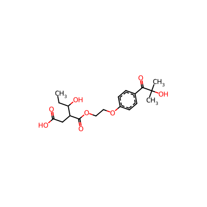 CCC(O)C(CC(=O)O)C(=O)OCCOc1ccc(C(=O)C(C)(C)O)cc1